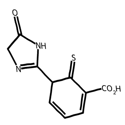 O=C1CN=C(C2C=CC=C(C(=O)O)C2=S)N1